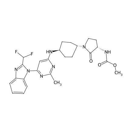 COC(=O)N[C@H]1CCN([C@H]2CC[C@H](Nc3cc(-n4c(C(F)F)nc5ccccc54)nc(C)n3)CC2)C1=O